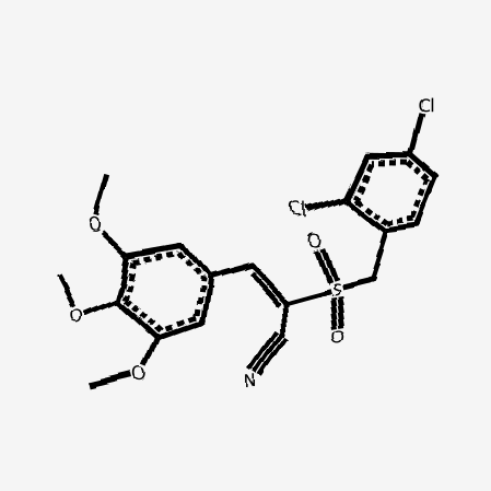 COc1cc(/C=C(\C#N)S(=O)(=O)Cc2ccc(Cl)cc2Cl)cc(OC)c1OC